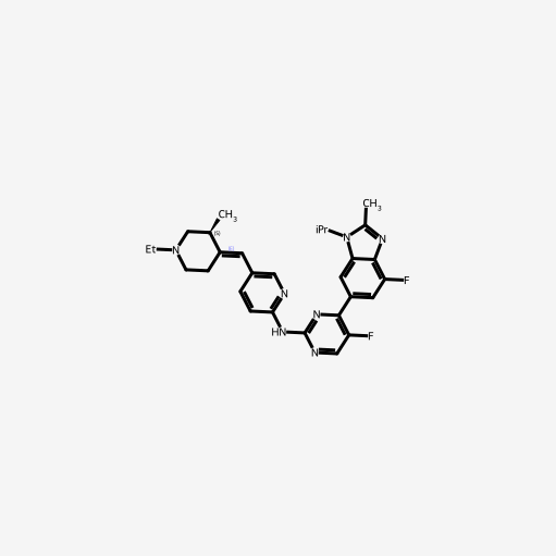 CCN1CC/C(=C\c2ccc(Nc3ncc(F)c(-c4cc(F)c5nc(C)n(C(C)C)c5c4)n3)nc2)[C@H](C)C1